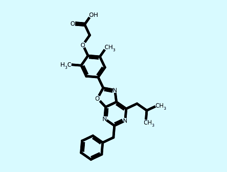 Cc1cc(-c2nc3c(CC(C)C)nc(Cc4ccccc4)nc3o2)cc(C)c1OCC(=O)O